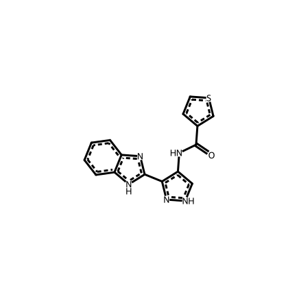 O=C(Nc1c[nH]nc1-c1nc2ccccc2[nH]1)c1ccsc1